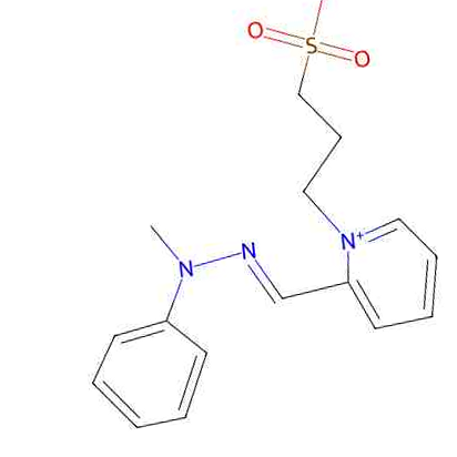 CN(N=Cc1cccc[n+]1CCCS(=O)(=O)O)c1ccccc1